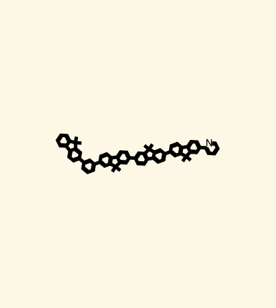 CC1(C)c2ccccc2-c2ccc(-c3cccc(-c4ccc5c(c4)C(C)(C)c4cc(-c6ccc7c(c6)C(C)(C)c6cc(-c8ccc9c(c8)C(C)(C)c8cc(-c%10ccccn%10)ccc8-9)ccc6-7)ccc4-5)c3)cc21